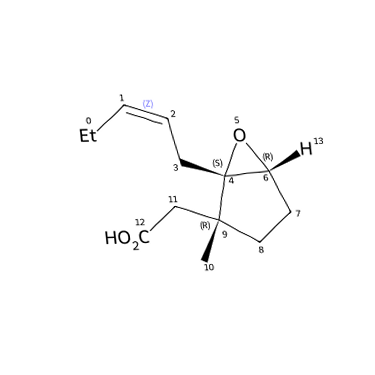 CC/C=C\C[C@@]12O[C@@H]1CC[C@]2(C)CC(=O)O